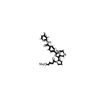 COC/C=C/C(=O)N1CCCC1C1=C2C=NC=C[N+]2(N)C(c2ccc(C(=O)Nc3cc(C)ccn3)cc2)=N1